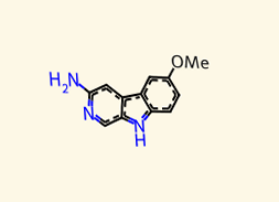 COc1ccc2[nH]c3cnc(N)cc3c2c1